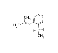 CC(C)=Cc1ccccc1C(C)(I)I